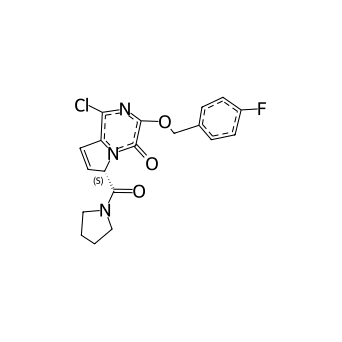 O=C([C@@H]1C=Cc2c(Cl)nc(OCc3ccc(F)cc3)c(=O)n21)N1CCCC1